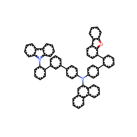 c1cc(-c2ccc(N(c3ccc(-c4ccccc4-c4cccc5c4oc4ccccc45)cc3)c3cc4ccccc4c4ccccc34)cc2)cc(-c2ccccc2-n2c3ccccc3c3ccccc32)c1